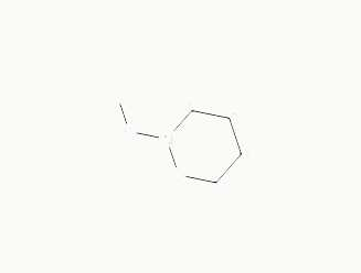 C[O][Al]1[CH2]CCC[O]1